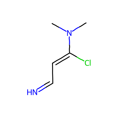 CN(C)C(Cl)=CC=N